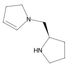 C1=CN(C[C@H]2CCCN2)CC1